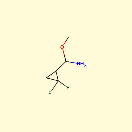 COC(N)C1CC1(F)F